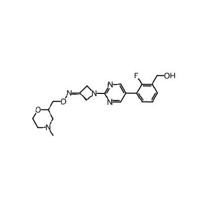 CN1CCOC(CON=C2CN(c3ncc(-c4cccc(CO)c4F)cn3)C2)C1